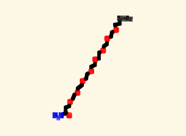 CC(=O)NCCOCCOCCOCCOCCOCCOCCOCCOCCC(N)=O